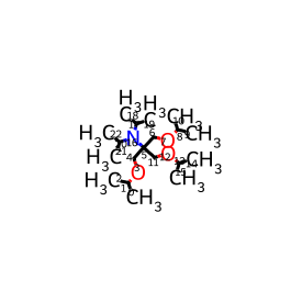 CC(C)OCC(COC(C)C)(COC(C)C)N(C(C)C)C(C)C